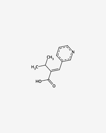 CC(C)/C(=C\c1cccnc1)C(=O)O